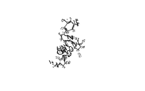 Cc1cc(F)cc(-c2ccc(C(=O)NS(=O)(=O)N3CC[C@@H](N)C3)c(N3C[C@@H](C)CC3(C)C)n2)c1